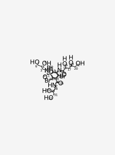 O=C(NCC(O)CO)c1c(Br)c(NC(=O)C(O)CC(O)CO)c(Br)c(C(=O)NCC(O)CO)c1Br